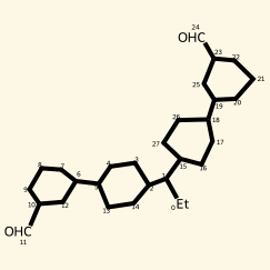 CCC(C1CCC(C2CCCC(C=O)C2)CC1)C1CCC(C2CCCC(C=O)C2)CC1